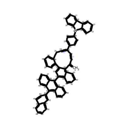 C=C1/C=C\C(c2ccc(-n3c4ccccc4c4ccccc43)cc2)=C/Cc2ccccc2-c2cc(-c3c4ccccc4c(-c4ccc5ccccc5c4)c4ccccc34)c3ccccc3c21